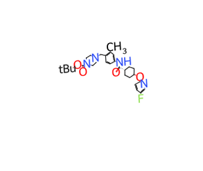 Cc1cc(NC(=O)[C@H]2CC[C@H](Oc3ccc(F)cn3)CC2)ccc1CN1CCN(C(=O)OC(C)(C)C)CC1